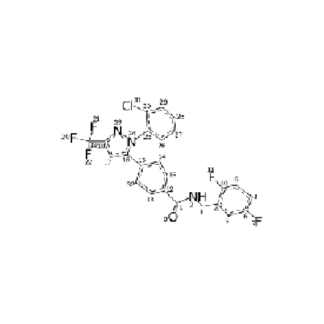 O=C(NCc1cc(F)ccc1F)c1ccc(-c2cc(C(F)(F)F)nn2-c2ccccc2Cl)cc1